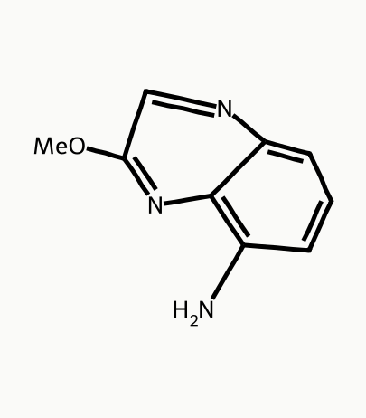 COc1cnc2cccc(N)c2n1